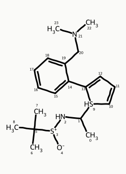 CC(N[S+]([O-])C(C)(C)C)[SH]1C=CC=C1c1ccccc1CN(C)C